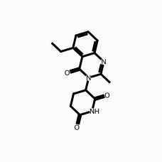 CCc1cccc2nc(C)n(C3CCC(=O)NC3=O)c(=O)c12